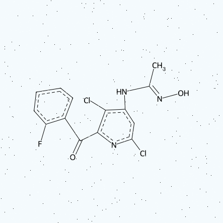 CC(=NO)Nc1cc(Cl)nc(C(=O)c2ccccc2F)c1Cl